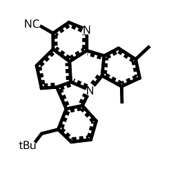 Cc1cc(C)c2c(c1)c1ncc(C#N)c3ccc4c5c(CC(C)(C)C)cccc5n2c4c31